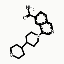 NC(=O)c1ccc2cncc(N3CCC(C4CCOCC4)CC3)c2c1